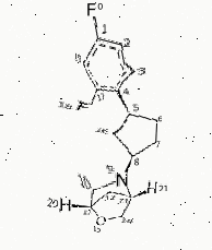 Fc1ccc([C@H]2CC[C@@H](N3C[C@@H]4C[C@H]3CO4)C2)c(F)c1